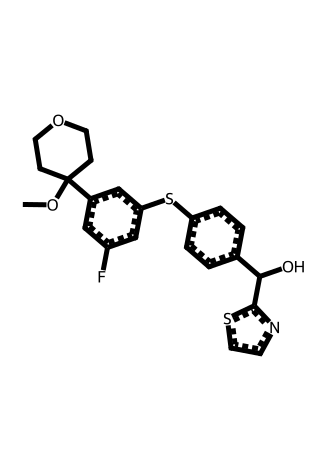 COC1(c2cc(F)cc(Sc3ccc(C(O)c4nccs4)cc3)c2)CCOCC1